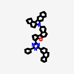 c1ccc(-c2nc(-c3ccc4ccc5ccccc5c4c3)nc(-c3cccc4c3oc3ccc5ccc(-n6c7cc8ccccc8cc7c7c8ccccc8ccc76)cc5c34)n2)cc1